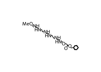 COCNCCNCCNCCNCCNCCNCOCC(=O)OCc1ccccc1